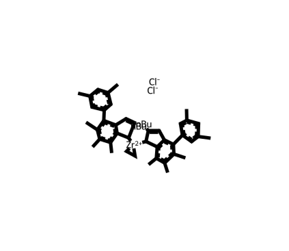 CCCCC1=Cc2c(-c3cc(C)cc(C)c3)c(C)c(C)c(C)c2[CH]1[Zr+2]1([CH]2C(CCCC)=Cc3c(-c4cc(C)cc(C)c4)c(C)c(C)c(C)c32)[CH2][CH2]1.[Cl-].[Cl-]